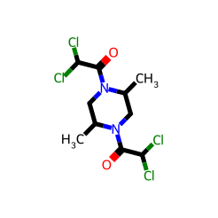 CC1CN(C(=O)C(Cl)Cl)C(C)CN1C(=O)C(Cl)Cl